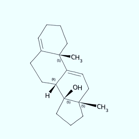 C[C@]12CCCC=C1CC[C@@H]1C2=CC[C@]2(C)CCC[C@]12O